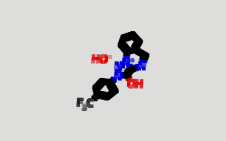 Oc1c2ncc3ccccc3[n+]2nn1-c1ccc(C(F)(F)F)cc1.[OH-]